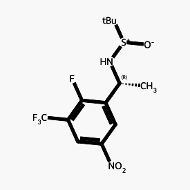 C[C@@H](N[S+]([O-])C(C)(C)C)c1cc([N+](=O)[O-])cc(C(F)(F)F)c1F